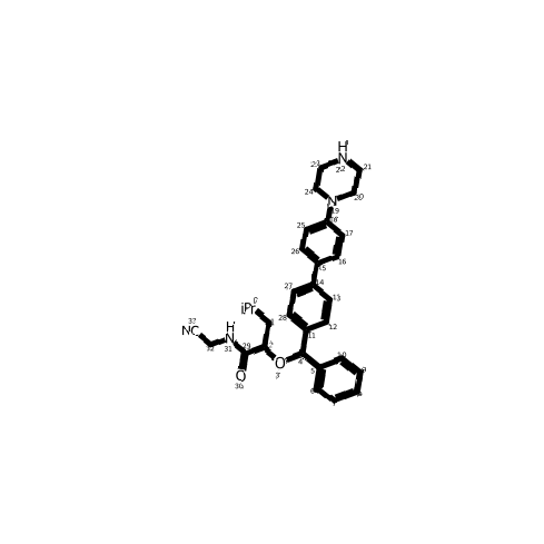 CC(C)CC(OC(c1ccccc1)c1ccc(-c2ccc(N3CCNCC3)cc2)cc1)C(=O)NCC#N